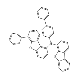 c1ccc(-c2ccc(N(c3cccc4c3sc3ccccc34)c3cccc4oc5c(-c6ccccc6)cccc5c34)cc2)cc1